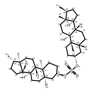 C[C@]12CC[C@@H](OS(=O)(=O)O[C@@H]3CC[C@@]4(C)[C@H](CC[C@@H]5[C@@H]4CC[C@]4(C)[C@@H](I)CC[C@@H]54)C3)C[C@H]1CC[C@@H]1[C@@H]2CC[C@]2(C)[C@@H](I)CC[C@@H]12